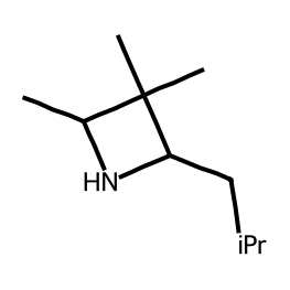 CC(C)CC1NC(C)C1(C)C